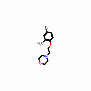 CCc1ccc(OCCN2CCOCC2)c(C)c1